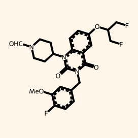 COc1cc(Cn2c(=O)c3cc(OC(CF)CF)ccc3n(C3CCN(C=O)CC3)c2=O)ccc1F